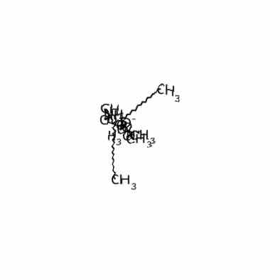 CCCCCCCCCCCCCCCCCCC(CCCCCCCCCCCCCCCCCC)(COC(=O)NCC)COP(=O)([O-])OCC[N+](C)(C)C